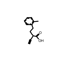 C#CC(CCc1ccccc1C)C(=O)O